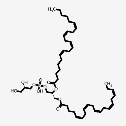 CC/C=C\C/C=C\C/C=C\C/C=C\C/C=C\CCCC(=O)OC[C@H](COP(=O)(O)OC[C@@H](O)CO)OC(=O)CCCCC/C=C\C/C=C\C/C=C\C/C=C\CCCCC